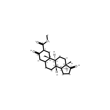 COC(=O)C1C[C@@]2(C)C(CC[C@@H]3[C@@H]2CC[C@]2(C)C(=O)CC[C@@H]32)CC1=O